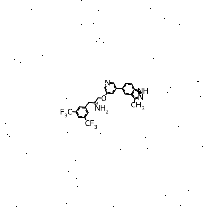 Cc1n[nH]c2ccc(-c3cncc(OC[C@@H](N)Cc4cc(C(F)(F)F)cc(C(F)(F)F)c4)c3)cc12